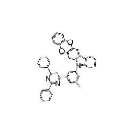 Cc1cc(-c2cc(-c3ccccc3)nc(-c3ccccc3)n2)cc(-n2c3ccccc3c3cc4c(cc32)Oc2ccccc2O4)c1